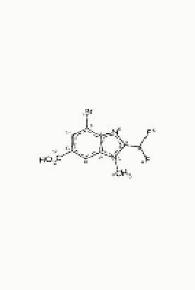 Cn1c(C(F)F)nc2c(Br)cc(C(=O)O)cc21